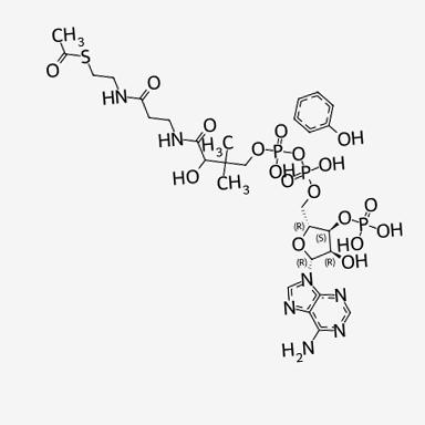 CC(=O)SCCNC(=O)CCNC(=O)C(O)C(C)(C)COP(=O)(O)OP(=O)(O)OC[C@H]1O[C@@H](n2cnc3c(N)ncnc32)[C@H](O)[C@@H]1OP(=O)(O)O.Oc1ccccc1